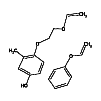 C=COCCOc1ccc(O)cc1C.C=COc1ccccc1